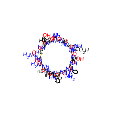 CCCC[C@H]1C(=O)N[C@@H](CN)C(=O)N[C@H](C(=O)NCC(N)=O)CSCC(=O)N[C@@H](Cc2ccc(O)cc2)C(=O)N(C)[C@@H](C)C(=O)N[C@@H](CC(N)=O)C(=O)N2CCC[C@H]2C(=O)N[C@@H](Cc2c[nH]cn2)C(=O)N[C@@H](CCC(=O)O)C(=O)N2C[C@H](O)C[C@H]2C(=O)N[C@@H](Cc2c[nH]c3ccccc23)C(=O)N[C@@H](CCN)C(=O)N[C@@H](Cc2c[nH]c3ccccc23)C(=O)N(C)[C@@H](CC(C)C)C(=O)N1C